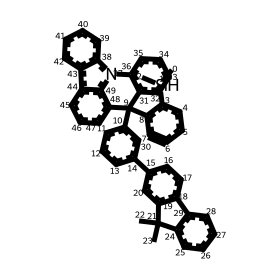 C[SiH](C)c1ccc#cc1C1(c2cccc(-c3ccc4c(c3)C(C)(C)c3ccccc3-4)c2)c2ccccc2-n2c3ccccc3c3cccc1c32